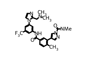 CNC(=O)n1cc(-c2cc(C(=O)Nc3cc(-n4ccnc4CN(C)C)cc(C(F)(F)F)c3)ccc2C)cn1